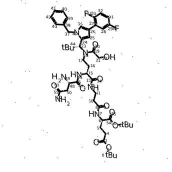 CC(C)(C)OC(=O)CC[C@@H](NC(=O)CCNC(=O)[C@H](CCN(C(=O)CO)[C@@H](c1cc(-c2cc(F)ccc2F)cn1Cc1ccccc1)C(C)(C)C)NC(=O)[C@@H](N)CC(N)=O)C(=O)OC(C)(C)C